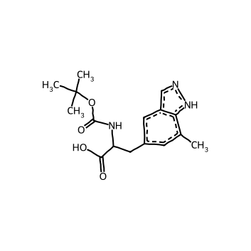 Cc1cc(CC(NC(=O)OC(C)(C)C)C(=O)O)cc2cn[nH]c12